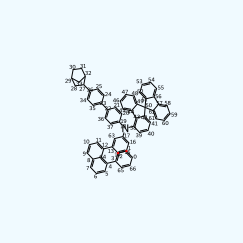 c1ccc(-c2cccc3cccc(-c4cccc(N(c5ccc(-c6ccc(C7CC8CCC7C8)cc6)cc5)c5cccc6c5-c5ccccc5C65c6ccccc6-c6ccccc65)c4)c23)cc1